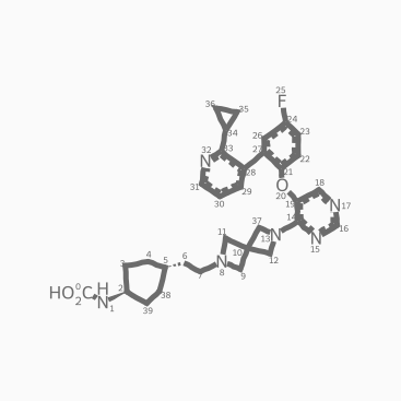 O=C(O)N[C@H]1CC[C@H](CCN2CC3(C2)CN(c2ncncc2Oc2ccc(F)cc2-c2cccnc2C2CC2)C3)CC1